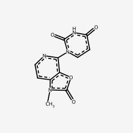 Cn1c(=O)oc2c(-n3ccc(=O)[nH]c3=O)nccc21